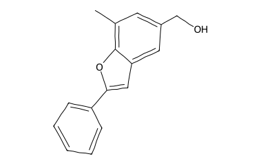 Cc1cc(CO)cc2cc(-c3ccccc3)oc12